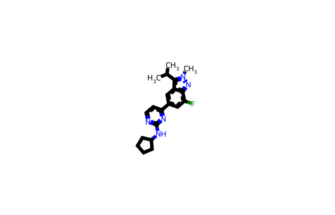 CC(C)c1c2cc(-c3ccnc(NC4CCCC4)n3)cc(F)c2nn1C